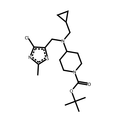 Cc1nc(Cl)c(CN(CC2CC2)C2CCN(C(=O)OC(C)(C)C)CC2)s1